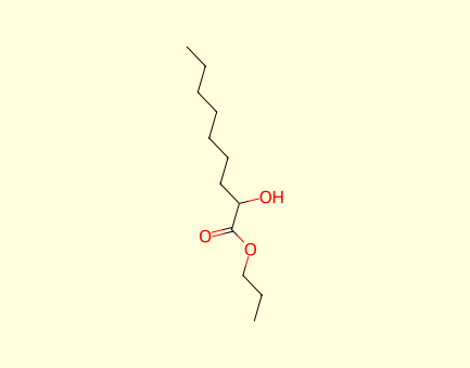 CCCCCCCC(O)C(=O)OCCC